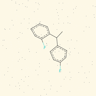 CC(c1ccc(F)cc1)c1ccccc1F